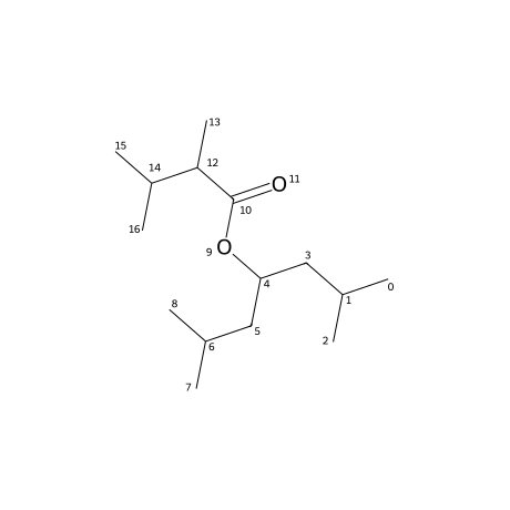 CC(C)CC(CC(C)C)OC(=O)C(C)C(C)C